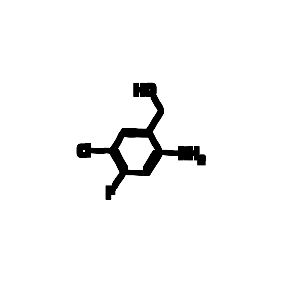 Nc1cc(F)c(Cl)cc1CO